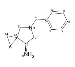 N[C@@H]1CN(Cc2ccccc2)CC12CC2